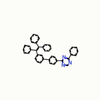 c1ccc(C(=C(c2ccccc2)c2cccc(-c3ccc(-c4ncnc(-c5ccccc5)n4)cc3)c2)c2ccccc2)cc1